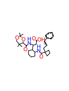 CC1(C)OCC(C)(C)C(C(=O)NC(CC(=O)O)C2CCCCC2NC(=O)C2(C/C=C/c3ccccc3)CCC2)O1